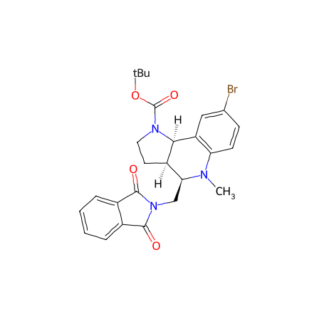 CN1c2ccc(Br)cc2[C@H]2[C@H](CCN2C(=O)OC(C)(C)C)[C@@H]1CN1C(=O)c2ccccc2C1=O